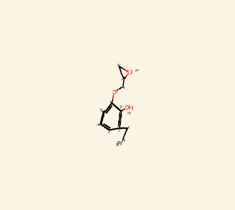 CC(C)Cc1cccc(OCC2CO2)c1O